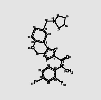 CN(C(=O)c1cc2c(s1)-c1cc(CN3CCCC3)ccc1OC2)c1ccc(F)cc1F